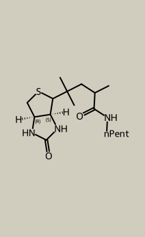 CCCCCNC(=O)C(C)CC(C)(C)C1SC[C@@H]2NC(=O)N[C@H]12